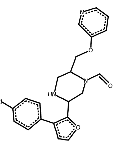 O=CN1CC(c2occc2-c2ccc(Cl)cc2)NCC1COc1cccnc1